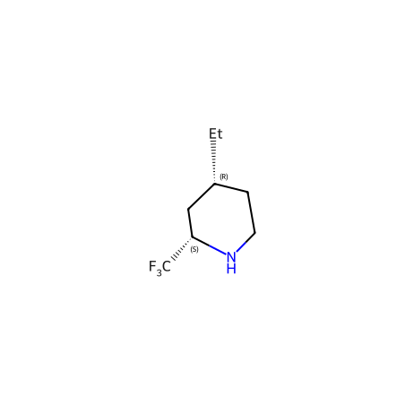 CC[C@@H]1CCN[C@H](C(F)(F)F)C1